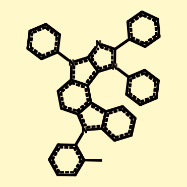 Cc1ccccc1-n1c2ccccc2c2c3c4c(nc(-c5ccccc5)n4-c4ccccc4)n(-c4ccccc4)c3ccc21